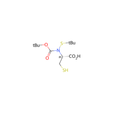 CC(C)(C)OC(=O)N(SC(C)(C)C)[C@@H](CS)C(=O)O